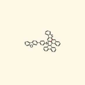 c1ccc2c(-c3c(N(c4ccc(-c5ccc6c(c5)oc5ccccc56)cc4)c4ccc5sc6ccccc6c5c4)c4ccccc4c4ccccc34)cccc2c1